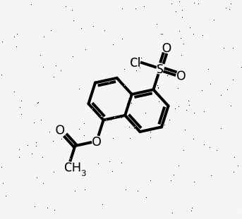 CC(=O)Oc1cccc2c(S(=O)(=O)Cl)cccc12